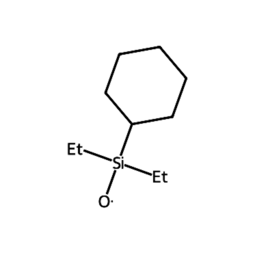 CC[Si]([O])(CC)C1CCCCC1